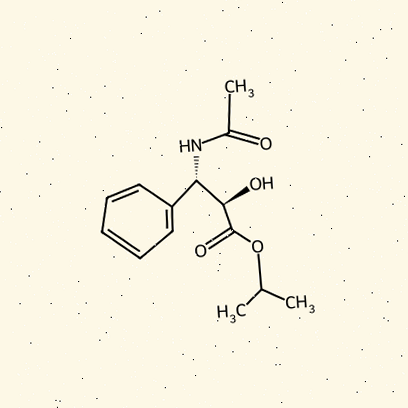 CC(=O)N[C@@H](c1ccccc1)[C@@H](O)C(=O)OC(C)C